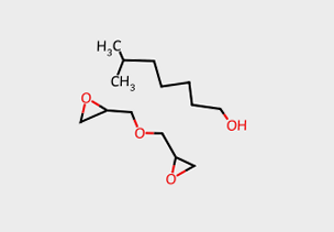 C(OCC1CO1)C1CO1.CC(C)CCCCCO